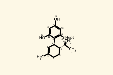 C=C(C)[C@@H]1CCC(C)=C[C@H]1c1c(O)cc(O)cc1CCCCCCC